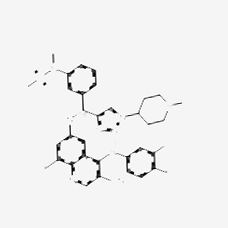 CN(c1cccc([C@H](Nc2cc(Cl)c3ncc(C#N)c(Nc4ccc(F)c(Cl)c4)c3c2)c2cn(C3CCN(C(C)(C)C)CC3)nn2)c1)S(C)(=O)=O